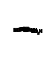 N#Cc1ccc(OC[C@@H](O)CN2CC3CN(CCCCNC(=O)O)CC(C2)O3)cc1